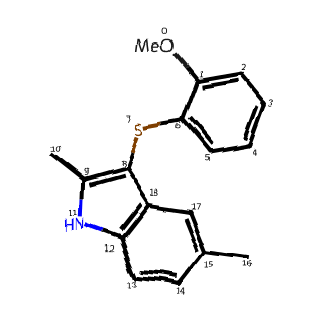 COc1ccccc1Sc1c(C)[nH]c2ccc(C)cc12